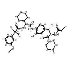 CCC(=O)N[C@@H](C(=O)N1CCN(C)CC1)[C@@H](C)c1ccc(NC(=O)[C@@H](NC(=O)C(F)(F)c2cccc(OC)c2)C2CCCCC2)c(F)c1